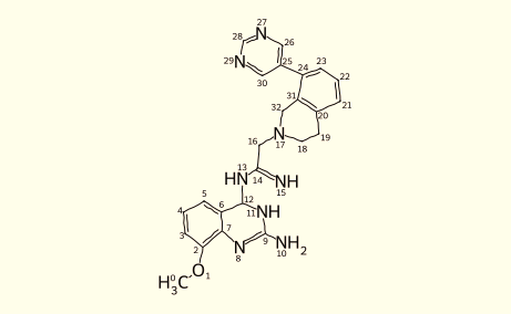 COc1cccc2c1N=C(N)NC2NC(=N)CN1CCc2cccc(-c3cncnc3)c2C1